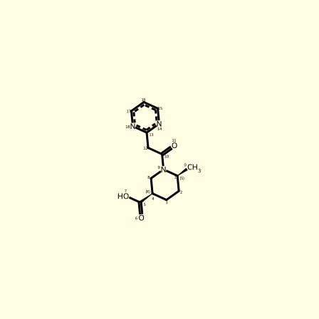 C[C@H]1CC[C@@H](C(=O)O)CN1C(=O)Cc1ncccn1